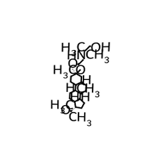 CC(=O)[C@H]1CC[C@H]2[C@@H]3CC[C@H]4C[C@](C)(OC(=O)CNC(C)(C)CO)CC[C@]4(C)[C@H]3CC[C@]12C